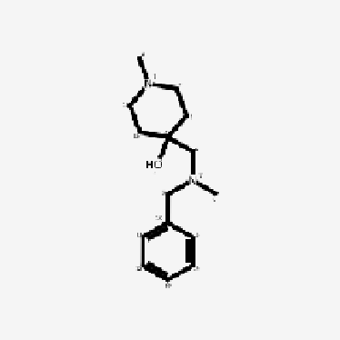 CN1CCC(O)(CN(C)Cc2ccccc2)CC1